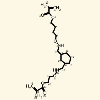 C=C(C)C(=O)OCCCCONCC1CCCC(CNOCCOC(=O)C(=C)C)C1